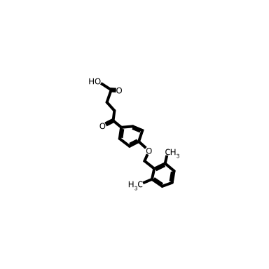 Cc1cccc(C)c1COc1ccc(C(=O)CCC(=O)O)cc1